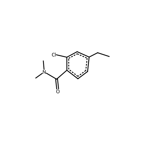 CCc1ccc(C(=O)N(C)C)c(Cl)c1